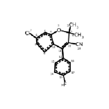 CC1(C)Oc2cc(Cl)ccc2C(c2ccc(F)cc2)=C1C#N